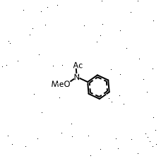 [CH2]C(=O)N(OC)c1ccccc1